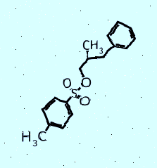 Cc1ccc(S(=O)(=O)OC[C@@H](C)Cc2ccccc2)cc1